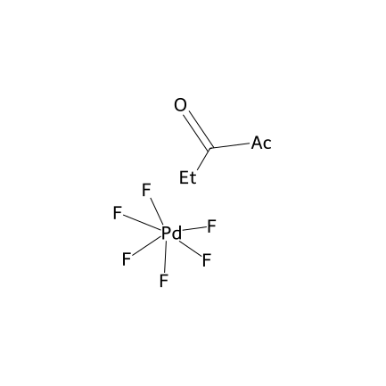 CCC(=O)C(C)=O.[F][Pd]([F])([F])([F])([F])[F]